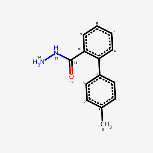 Cc1ccc(-c2ccccc2C(=O)NN)cc1